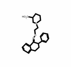 O=C(O)C1CCCN(CCON=C2c3ccccc3CCC2c2ccccc2)C1